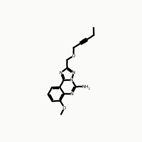 CCC#CCOCc1nc2c3cccc(OC)c3nc(N)n2n1